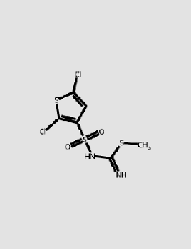 CSC(=N)NS(=O)(=O)c1cc(Cl)sc1Cl